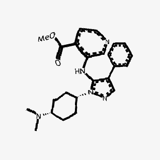 COC(=O)c1ccncc1Nc1c(-c2ccccc2)cnn1[C@H]1CC[C@@H](N(C)C)CC1